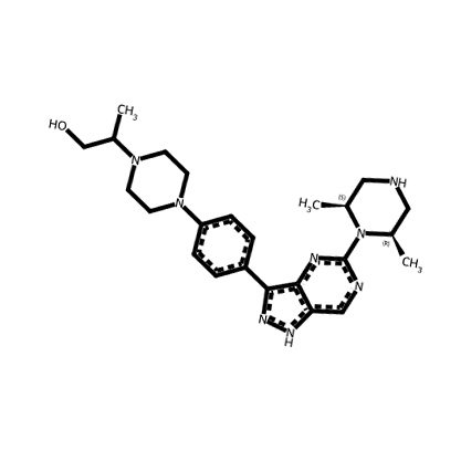 CC(CO)N1CCN(c2ccc(-c3n[nH]c4cnc(N5[C@H](C)CNC[C@@H]5C)nc34)cc2)CC1